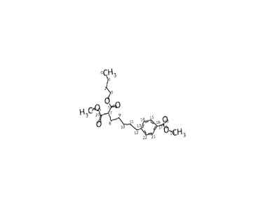 CCCCOC(=O)C(CCCCCc1ccc(C(=O)OC)cc1)C(=O)OC